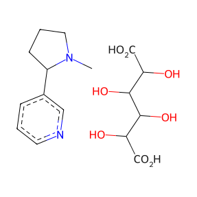 CN1CCCC1c1cccnc1.O=C(O)C(O)C(O)C(O)C(O)C(=O)O